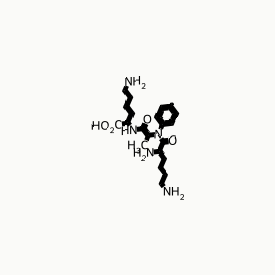 CC(C(=O)NC(CCCCN)C(=O)O)N(C(=O)C(N)CCCCN)c1ccccc1